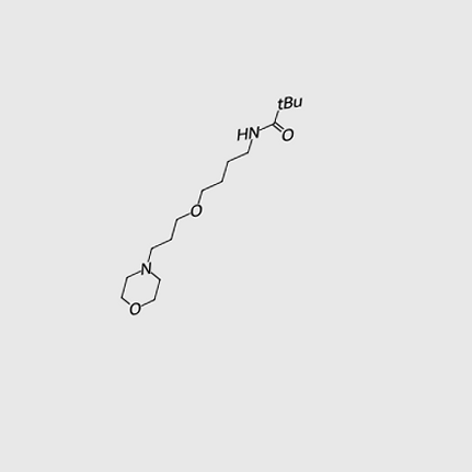 CC(C)(C)C(=O)NCCCCOCCCN1CCOCC1